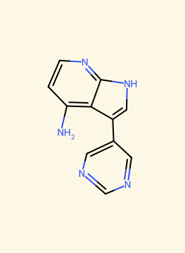 Nc1ccnc2[nH]cc(-c3cncnc3)c12